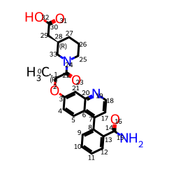 C[C@@H](Oc1ccc2c(-c3ccccc3C(N)=O)ccnc2c1)C(=O)N1CCC[C@H](CC(=O)O)C1